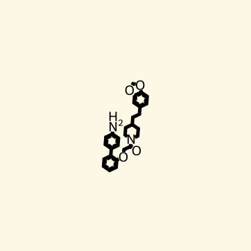 Nc1ccc(-c2ccccc2OCC(=O)N2CCC(CCc3ccc4c(c3)OCO4)CC2)cc1